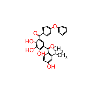 CC(C)c1cc(O)ccc1C(=O)c1cc(C(=O)c2ccc(Oc3ccccc3)cc2)c(O)c(O)c1O